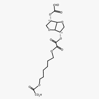 O=CC(=O)O[C@H]1COC2C1OC[C@@H]2OC(=O)C(=O)OCCCCCCOC(=O)C(=O)O